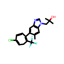 Cc1cc2c(cc1C1=C(C(F)(F)F)CC=C(Cl)C=C1)ncn2CC(C)(C)O